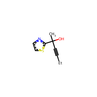 CCC#CC(C)(O)c1nccs1